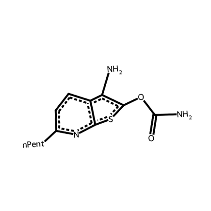 CCCCCc1ccc2c(N)c(OC(N)=O)sc2n1